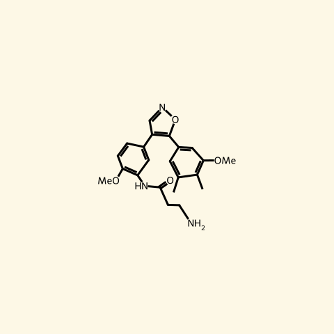 COc1ccc(-c2cnoc2-c2cc(C)c(C)c(OC)c2)cc1NC(=O)CCN